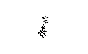 CCCn1c(=O)c2nc(C34CCC(CCc5nc(C(=O)O)cs5)(CC3)CC4)[nH]c2n(CCC)c1=O